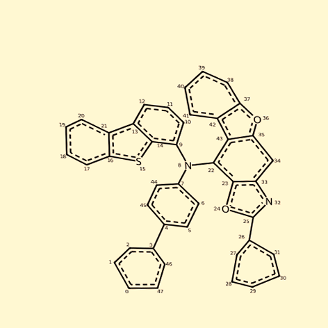 c1ccc(-c2ccc(N(c3cccc4c3sc3ccccc34)c3c4oc(-c5ccccc5)nc4cc4oc5ccccc5c34)cc2)cc1